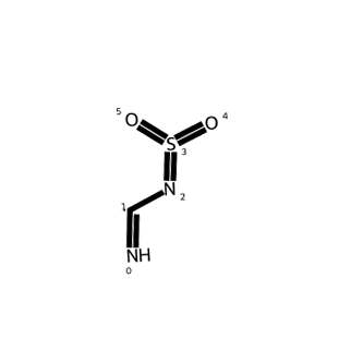 N=[C]N=S(=O)=O